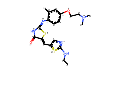 CCNc1ncc(/C=C2\S/C(=N\c3ccc(OCCN(C)C)cc3C)NC2=O)s1